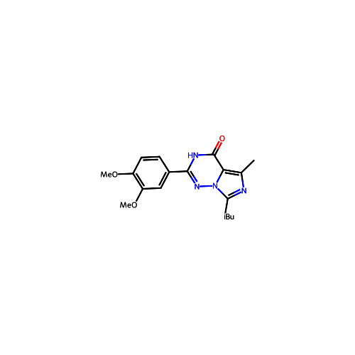 CCC(C)c1nc(C)c2c(=O)[nH]c(-c3ccc(OC)c(OC)c3)nn12